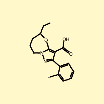 CCC1CCCn2nc(-c3ccccc3F)c(C(=O)O)c2O1